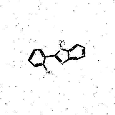 Cn1c(-c2ccccc2N)nc2ccccc21